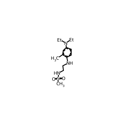 CCN(CC)c1ccc(NCCNS(C)(=O)=O)c(C)c1